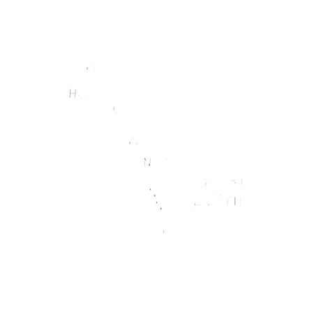 C[C@@H](O)CCOCCOc1cccc(-c2nn(C3CCCCO3)c3ccc(O[Si](C)(C)C(C)(C)C)cc23)n1